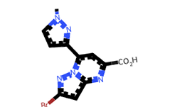 Cn1ccc(-c2cc(C(=O)O)nc3cc(Br)nn23)n1